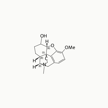 COc1ccc2c3c1O[C@H]1C(O)CC[C@H]4[C@@H](C2)N(C)CC[C@]314